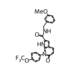 COc1cccc(CNC(=O)c2cc3ccc(=O)n(-c4ccc(OC(F)(F)F)cc4)c3[nH]2)c1